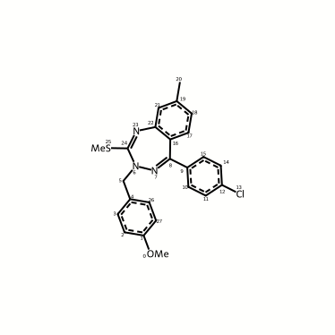 COc1ccc(CN2N=C(c3ccc(Cl)cc3)c3ccc(C)cc3N=C2SC)cc1